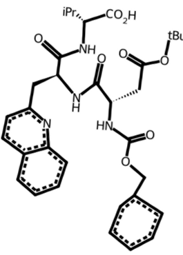 CC(C)[C@@H](NC(=O)[C@H](Cc1ccc2ccccc2n1)NC(=O)[C@H](CC(=O)OC(C)(C)C)NC(=O)OCc1ccccc1)C(=O)O